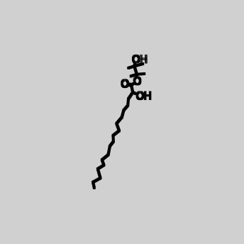 CCCCCCCCCCCCCCCCC(O)C(=O)OC(C)(C)C(C)(C)O